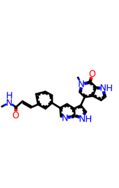 CNC(=O)C=Cc1cccc(-c2cnc3[nH]cc(-c4cn(C)c(=O)c5[nH]ccc45)c3c2)c1